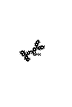 CSC(=S)OC(Cc1ccc(N(c2ccc3ccccc3c2)c2ccc3ccccc3c2)cc1)c1ccc(N(c2ccc3ccccc3c2)c2ccc3ccccc3c2)cc1